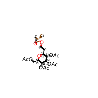 CC(=O)OC[C@H]1O[C@@H](CCOS(C)(=O)=S)[C@H](OC(C)=O)[C@@H](OC(C)=O)[C@@H]1OC(C)=O